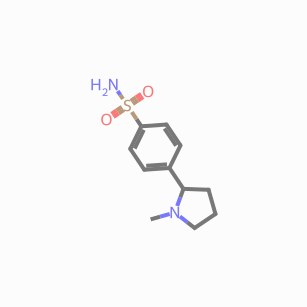 CN1CCCC1c1ccc(S(N)(=O)=O)cc1